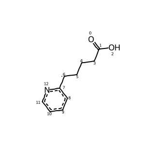 O=C(O)CCC[CH]c1ccccn1